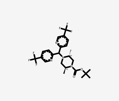 C[C@@H]1CN(C(=O)OC(C)(C)C)[C@@H](C)CN1C(c1ccc(C(F)(F)F)cn1)c1ccc(C(F)(F)F)cn1